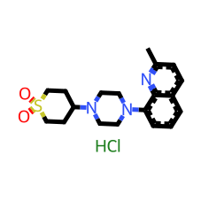 Cc1ccc2cccc(N3CCN(C4CCS(=O)(=O)CC4)CC3)c2n1.Cl